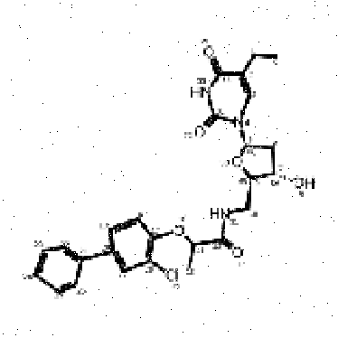 CCc1cn([C@H]2C[C@H](O)[C@@H](CNC(=O)C(C)Oc3ccc(-c4ccccc4)cc3Cl)O2)c(=O)[nH]c1=O